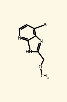 COCc1nc2c(Br)ccnc2[nH]1